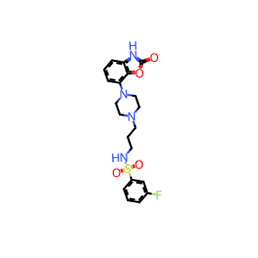 O=c1[nH]c2cccc(N3CCN(CCCNS(=O)(=O)c4cccc(F)c4)CC3)c2o1